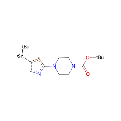 CC(C)(C)OC(=O)N1CCN(c2nc[c]([Sn][C](C)(C)C)s2)CC1